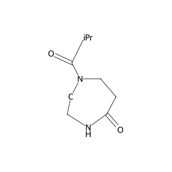 CC(C)C(=O)N1CCNC(=O)CC1